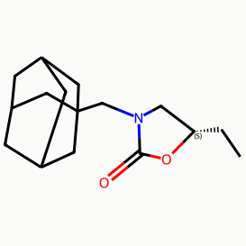 CC[C@H]1CN(CC23CC4CC(CC(C4)C2)C3)C(=O)O1